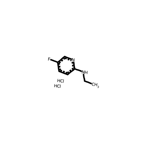 CCNc1ccc(F)cn1.Cl.Cl